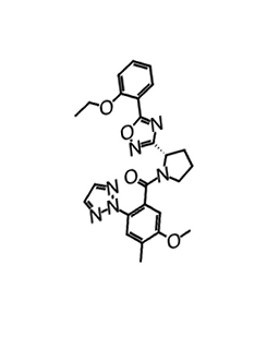 CCOc1ccccc1-c1nc([C@@H]2CCCN2C(=O)c2cc(OC)c(C)cc2-n2nccn2)no1